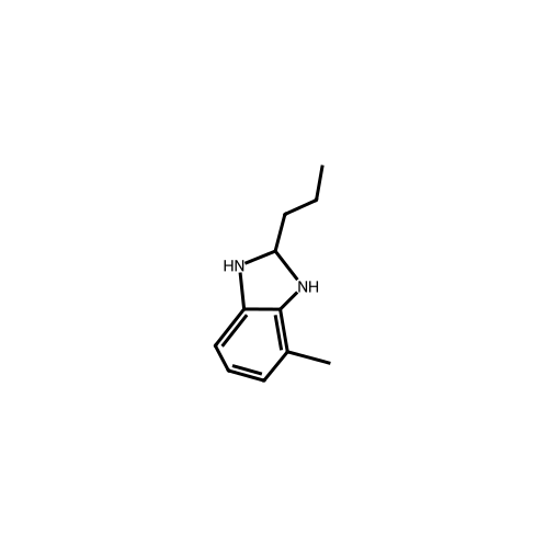 CCCC1Nc2cccc(C)c2N1